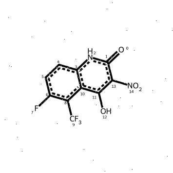 O=c1[nH]c2ccc(F)c(C(F)(F)F)c2c(O)c1[N+](=O)[O-]